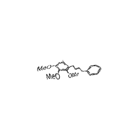 COc1c[c]c(CC=CCc2ccccc2)c(OC)c1OC